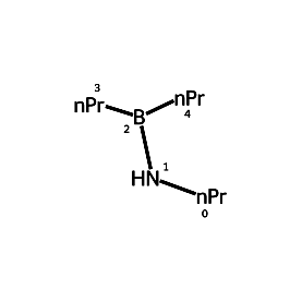 CCCNB(CCC)CCC